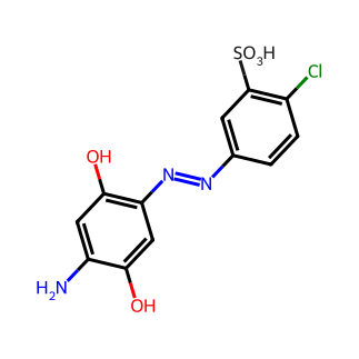 Nc1cc(O)c(N=Nc2ccc(Cl)c(S(=O)(=O)O)c2)cc1O